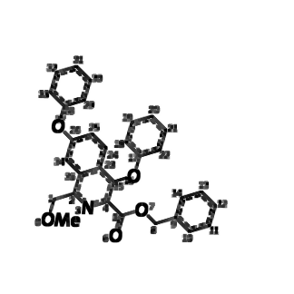 COCc1nc(C(=O)OCc2ccccc2)c(Oc2ccccc2)c2ccc(Oc3ccccc3)cc12